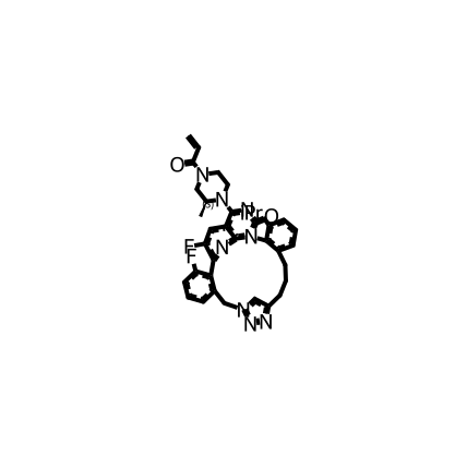 C=CC(=O)N1CCN(c2nc(=O)n3c4nc(c(F)cc24)-c2c(F)cccc2Cn2cc(nn2)CCCc2cccc(C(C)C)c2-3)[C@@H](C)C1